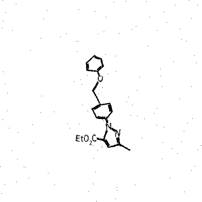 CCOC(=O)c1cc(C)nn1-c1ccc(COc2ccccc2)cc1